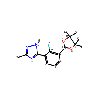 Cc1nc(-c2cccc(B3OC(C)(C)C(C)(C)O3)c2F)n(C)n1